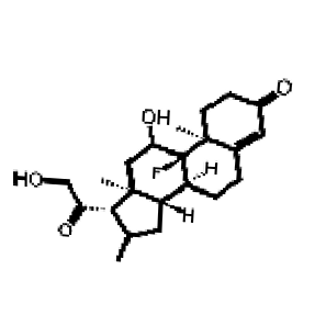 CC1C[C@H]2[C@@H]3CCC4=CC(=O)CC[C@]4(C)[C@@]3(F)C(O)C[C@]2(C)[C@H]1C(=O)CO